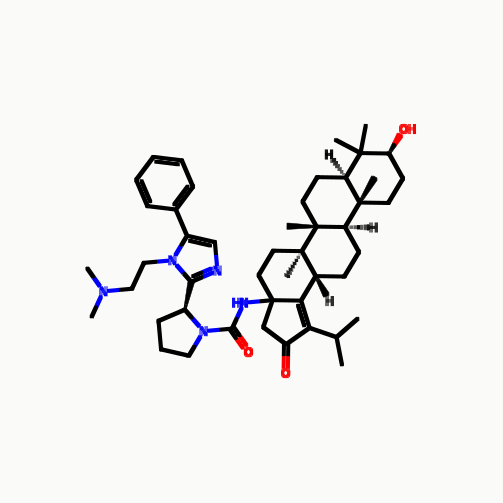 CC(C)C1=C2[C@H]3CC[C@@H]4[C@@]5(C)CC[C@H](O)C(C)(C)[C@@H]5CC[C@@]4(C)[C@]3(C)CCC2(NC(=O)N2CCC[C@H]2c2ncc(-c3ccccc3)n2CCN(C)C)CC1=O